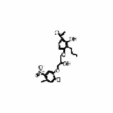 CCCc1c(OCC(O)COc2cc([N+](=O)[O-])c(C)cc2Cl)ccc(C(C)=O)c1O